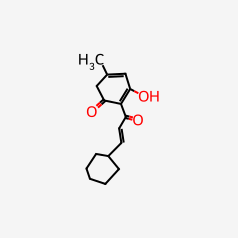 CC1=CC(O)=C(C(=O)/C=C/C2CCCCC2)C(=O)C1